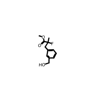 COC(=O)C(C)(F)Cc1cccc(CO)c1